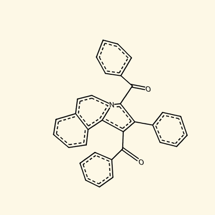 O=C(c1ccccc1)c1c(-c2ccccc2)c(C(=O)c2ccccc2)n2ccc3ccccc3c12